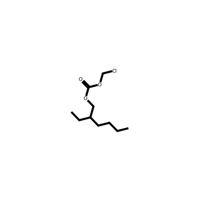 CCCCC(CC)COC(=O)OCCl